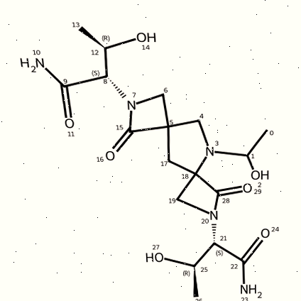 CC(O)N1CC2(CN([C@H](C(N)=O)[C@@H](C)O)C2=O)CC12CN([C@H](C(N)=O)[C@@H](C)O)C2=O